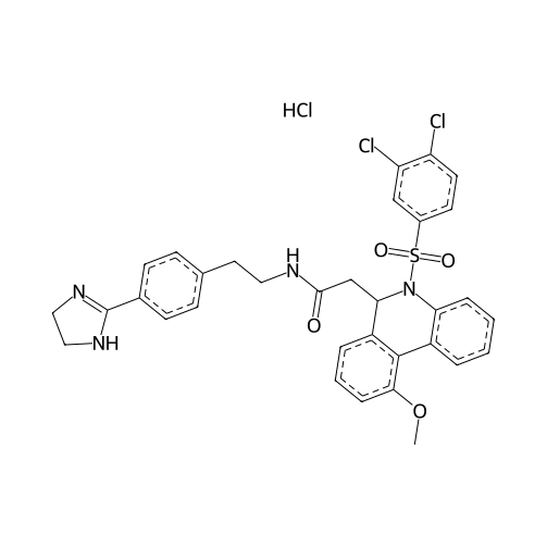 COc1cccc2c1-c1ccccc1N(S(=O)(=O)c1ccc(Cl)c(Cl)c1)C2CC(=O)NCCc1ccc(C2=NCCN2)cc1.Cl